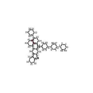 c1ccc(-c2ccc(-c3ccc(N(c4ccc(-c5ccccc5)cc4)c4cc5sc6ccccc6c5cc4-c4ccccc4)cc3)cc2)cc1